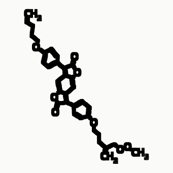 C=CCCCOc1ccc(C2=c3cc4c(cc3OC2=O)=C(c2ccc(OCCCC(=C)COOC)cc2)C(=O)O4)cc1